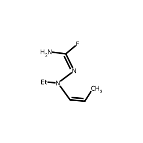 C/C=C\N(CC)/N=C(\N)F